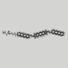 CCCCCCc1ccc2cc3cc4cc(/C=C/C5Cc6cc7cc8cc9sc(/C=C/c%10ccc%11cc%12cc%13ccccc%13cc%12cc%11c%10)cc9cc8cc7cc6S5)ccc4cc3cc2c1